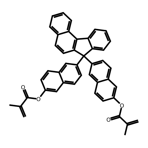 C=C(C)C(=O)Oc1ccc2cc(C3(c4ccc5cc(OC(=O)C(=C)C)ccc5c4)c4ccccc4-c4c3ccc3ccccc43)ccc2c1